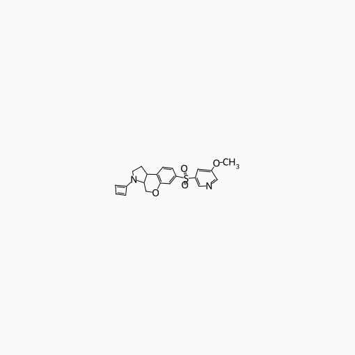 COc1cncc(S(=O)(=O)c2ccc3c(c2)OCC2C3CCN2C2=CC=C2)c1